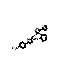 COc1ccccc1-n1c(SCc2csc(-c3ccc([N+](=O)[O-])cc3)n2)nnc1-c1cccs1